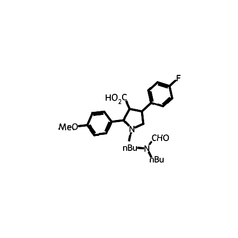 CCCCN(C=O)CCCC.COc1ccc(C2C(C(=O)O)C(c3ccc(F)cc3)CN2C)cc1